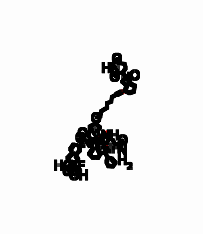 CCCC[C@H](NC(=O)c1ccc2ccc(C(F)(F)P(=O)(O)O)cc2c1)C(=O)N1C[C@H](OCCCCCCC#Cc2cccc3c2CN(C2CCC(=O)NC2=O)C3=O)C[C@H]1C(=O)N[C@@H](CCC(N)=O)C(=O)NC(c1ccccc1)c1ccccc1